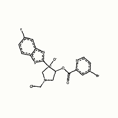 O=C(OC1CN(CCl)C[N+]1([O-])c1nc2cc(F)ccc2s1)c1cc(Br)ccn1